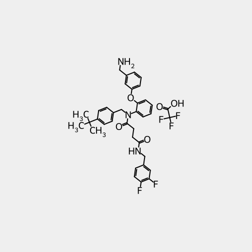 CC(C)(C)c1ccc(CN(C(=O)CCC(=O)NCc2ccc(F)c(F)c2)c2ccccc2Oc2cccc(CN)c2)cc1.O=C(O)C(F)(F)F